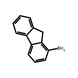 Bc1cccc2c1Cc1ccccc1-2